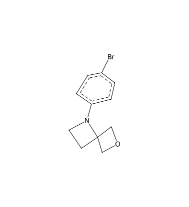 Brc1ccc(N2CCC23COC3)cc1